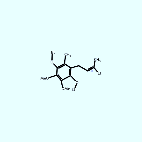 CCOc1c(C)c(C/C=C(\C)CC)c(OCC)c(OC)c1OC